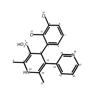 CC1=C(C(=O)O)C(c2cccc(Cl)c2Cl)C(c2cccnc2)=C(C)N1